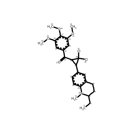 CCC1CCc2cc(C3C(C(=O)c4cc(OC)c(OC)c(OC)c4)C3(Cl)Cl)ccc2N1C